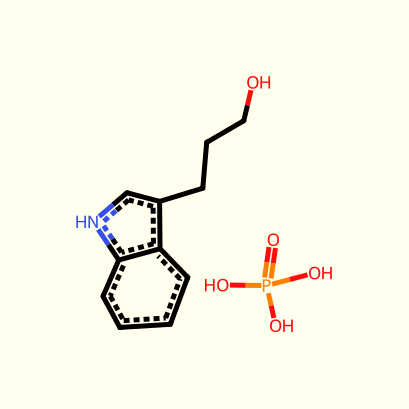 O=P(O)(O)O.OCCCc1c[nH]c2ccccc12